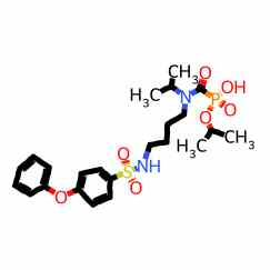 CC(C)OP(=O)(O)C(=O)N(CCCCNS(=O)(=O)c1ccc(Oc2ccccc2)cc1)C(C)C